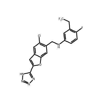 Fc1ccc(NCc2cc3oc(-c4nnn[nH]4)cc3cc2Cl)cc1CC(F)(F)F